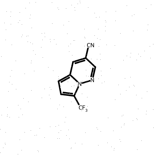 N#Cc1cnn2c(C(F)(F)F)ccc2c1